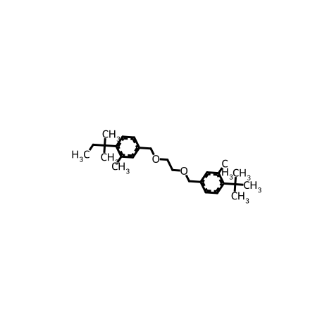 CCC(C)(C)c1ccc(COCCOCc2ccc(C(C)(C)C)c(C)c2)cc1C